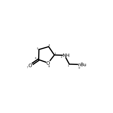 CCCCCNC1CCC(=O)O1